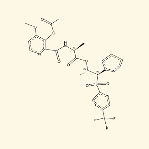 COc1ccnc(C(=O)N[C@@H](C)C(=O)O[C@@H](C)[C@@H](c2ccccc2)S(=O)(=O)c2ccc(C(F)(F)F)cn2)c1OC(C)=O